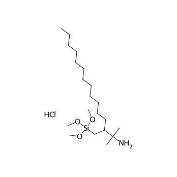 CCCCCCCCCCCCC(C[Si](OC)(OC)OC)C(C)(C)N.Cl